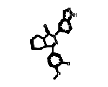 COc1ccc(C2=NN(c3ccc4[nH]ncc4c3)C(=O)C3CC=CCC23)cc1Cl